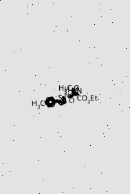 CCOC(=O)c1noc(C)c1C(=O)Nc1ccc(-c2ccc(C)cc2)s1